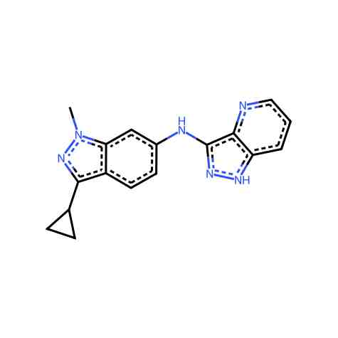 Cn1nc(C2CC2)c2ccc(Nc3n[nH]c4cccnc34)cc21